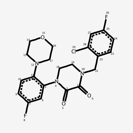 O=C1C(=O)N(c2cc(F)ccc2N2CCOCC2)CCN1Cc1ccc(F)cc1Cl